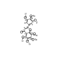 COc1cc(-c2cc(=O)c3c(OC)c(OC)c(OC)c(OC)c3o2)cc(OC)c1OC